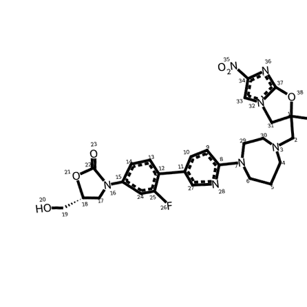 CC1(CN2CCCN(c3ccc(-c4ccc(N5C[C@H](CO)OC5=O)cc4F)cn3)CC2)Cn2cc([N+](=O)[O-])nc2O1